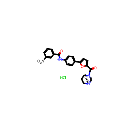 Cl.O=C(Nc1ccc(-c2ccc(C(=O)N3CCN4CCC3CC4)o2)cc1)c1cccc([N+](=O)[O-])c1